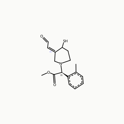 COC(=O)[C@H](c1ccccc1C)N1CCC(S)/C(=C\C=O)C1